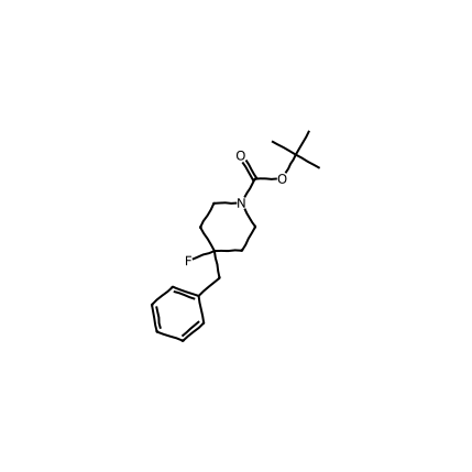 CC(C)(C)OC(=O)N1CCC(F)(Cc2ccccc2)CC1